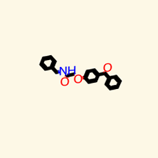 O=C(COc1ccc(C(=O)c2ccccc2)cc1)NCc1ccccc1